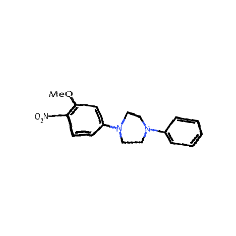 COc1cc(N2CCN(c3ccccc3)CC2)ccc1[N+](=O)[O-]